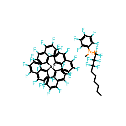 CCCCCCC(F)(F)C(F)(F)C(F)(F)[PH+](C)c1c(F)c(F)c(F)c(F)c1F.Fc1cc2[c]([Al-]([c]3c(F)c(F)c(F)c4c(F)c(F)c(F)cc34)([c]3c(F)c(F)c(F)c4c(F)c(F)c(F)cc34)[c]3c(F)c(F)c(F)c4c(F)c(F)c(F)cc34)c(F)c(F)c(F)c2c(F)c1F